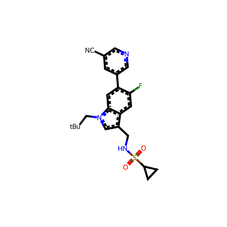 CC(C)(C)Cn1cc(CNS(=O)(=O)C2CC2)c2cc(F)c(-c3cncc(C#N)c3)cc21